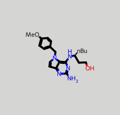 CCCC[C@@H](CCO)Nc1nc(N)nc2ccn(Cc3ccc(OC)cc3)c12